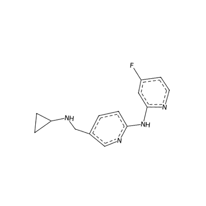 Fc1ccnc(Nc2ccc(CNC3CC3)cn2)c1